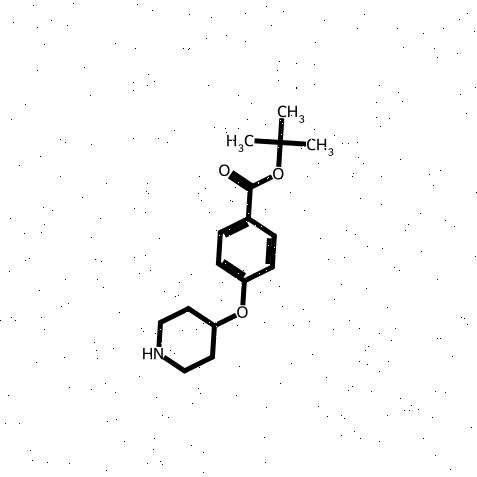 CC(C)(C)OC(=O)c1ccc(OC2CCNCC2)cc1